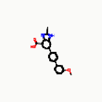 COc1cccc(-c2ccc(-c3cc(C(=O)O)c4nc(C)[nH]c4c3)cc2)c1